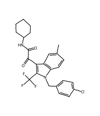 Cc1ccc2c(c1)c(C(=O)C(=O)NC1CCCCC1)c(C(F)(F)F)n2Cc1ccc(Cl)cc1